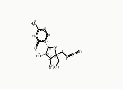 [N-]=[N+]=NC[C@]1(CO)O[C@@H](n2ccc(N)nc2=O)[C@@H](O)[C@@H]1O